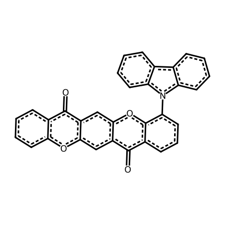 O=c1c2ccccc2oc2cc3c(=O)c4cccc(-n5c6ccccc6c6ccccc65)c4oc3cc12